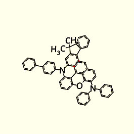 CC1(C)c2ccccc2-c2ccc(N(c3ccc(-c4ccccc4)cc3)c3cccc4c3-c3cccc5ccc(N(c6ccccc6)c6ccccc6)c(c35)O4)cc21